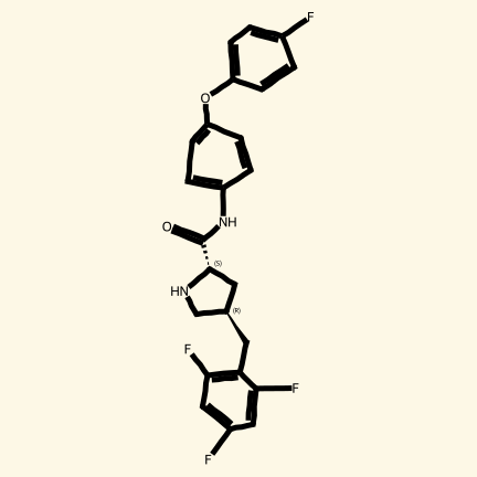 O=C(Nc1ccc(Oc2ccc(F)cc2)cc1)[C@@H]1C[C@@H](Cc2c(F)cc(F)cc2F)CN1